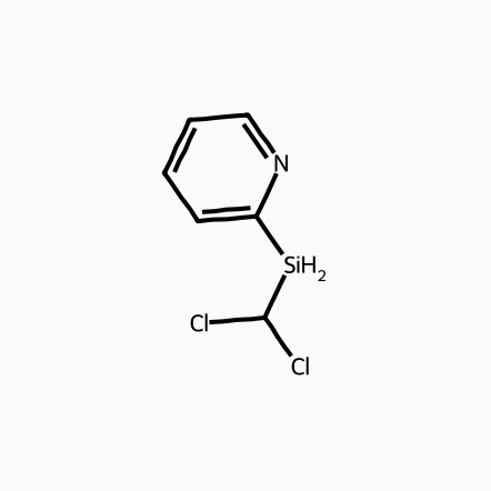 ClC(Cl)[SiH2]c1ccccn1